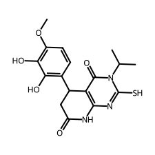 COc1ccc(C2CC(=O)Nc3nc(S)n(C(C)C)c(=O)c32)c(O)c1O